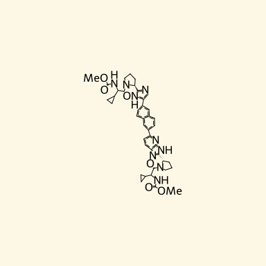 COC(=O)NC(C(=O)N1CCC[C@H]1c1ncc(-c2ccc3cc(-c4ccc5nc([C@@H]6CCCN6C(=O)C(NC(=O)OC)C6CC6)[nH]c5n4)ccc3c2)[nH]1)C1CC1